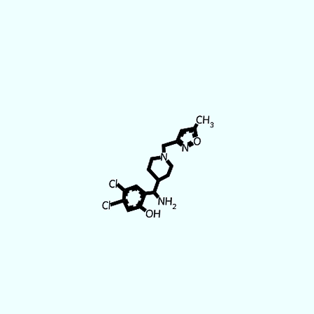 Cc1cc(CN2CCC(C(N)c3cc(Cl)c(Cl)cc3O)CC2)no1